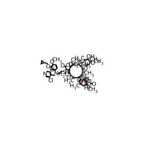 CC[C@H]1OC(=O)[C@H](C)[C@@H](O[C@H]2C[C@@](C)(OC)[C@@H](O)[C@H](C)O2)[C@H](C)[C@@H](O[C@@H]2O[C@H](C)C[C@H]3[C@H]2OC(=O)N3C)[C@](C)(OC)C[C@@H](C)C(=O)[C@H](C)[C@H]2C(SCCN(Cc3c(Cl)cncc3Cl)c3ccc(OC)c(OCC4CC4)c3)C(=O)O[C@@]21C